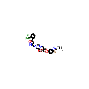 Cc1nc2cc(OCC(O)CN3CCN(CC4=NOC(c5ccccc5C(F)(F)F)C4)C[C@@H]3C)ccc2s1